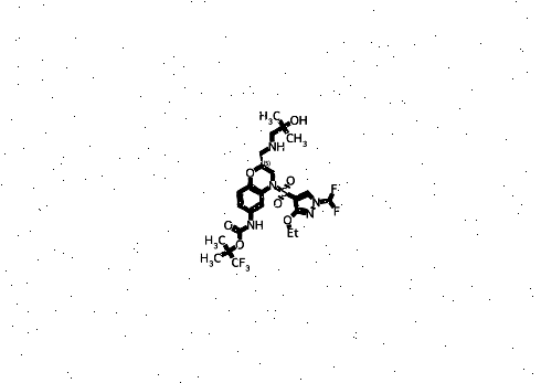 CCOc1nn(C(F)F)cc1S(=O)(=O)N1C[C@H](CNCC(C)(C)O)Oc2ccc(NC(=O)OC(C)(C)C(F)(F)F)cc21